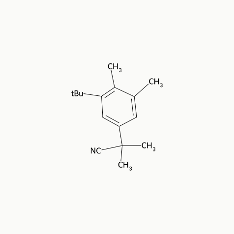 Cc1cc(C(C)(C)C#N)cc(C(C)(C)C)c1C